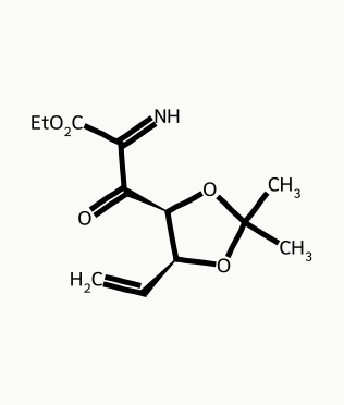 C=C[C@@H]1OC(C)(C)O[C@@H]1C(=O)C(=N)C(=O)OCC